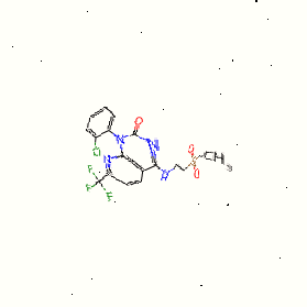 CS(=O)(=O)CCNc1nc(=O)n(-c2ccccc2Cl)c2nc(C(F)(F)F)ccc12